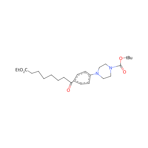 CCOC(=O)CCCCCCC(=O)c1ccc(N2CCN(C(=O)OC(C)(C)C)CC2)cc1